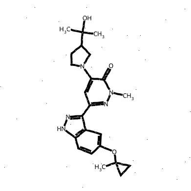 Cn1nc(-c2n[nH]c3ccc(OC4(C)CC4)cc23)cc(N2CCC(C(C)(C)O)C2)c1=O